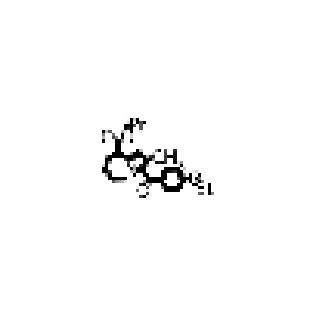 CCOc1ccc(C(=O)c2c(C)cc3n2CCCCC3C(=O)OC(C)C)cc1